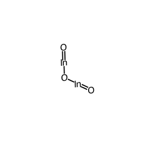 [O]=[In][O][In]=[O]